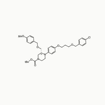 COc1ccc(COC[C@H]2CN(C(=O)OC(C)(C)C)CCN2c2ccc(OCCCOCc3ccc(Cl)cc3)cc2)cc1